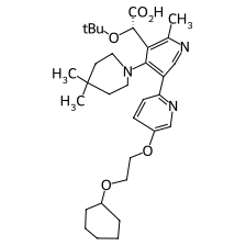 Cc1ncc(-c2ccc(OCCOC3CCCCC3)cn2)c(N2CCC(C)(C)CC2)c1[C@H](OC(C)(C)C)C(=O)O